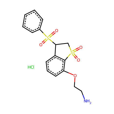 Cl.NCCOc1cccc2c1S(=O)(=O)CC2S(=O)(=O)c1ccccc1